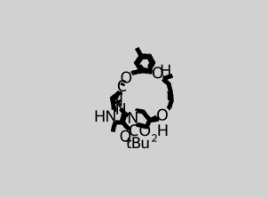 Cc1ccc2c(c1)COCc1cc3n(n1)C(=C([C@H](OC(C)(C)C)C(=O)O)C(C)N3)N1CCC(C)(CC1)OCC=CC[C@H](C)O2